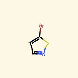 Brc1[c]cns1